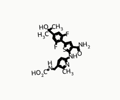 Cc1nc(Nc2sc(-c3c(F)cc(C(C)(C)O)cc3F)cc2C(N)=O)ccc1CNC(=O)O